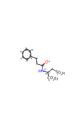 CCOC(=O)[C@H](CS(=O)(=O)O)NC(=O)CCc1ccccc1